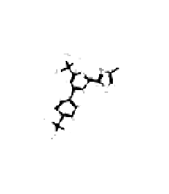 FC(F)(F)c1ccc(-c2cc(-c3nc(I)c[nH]3)nc(C(F)(F)F)c2)cc1